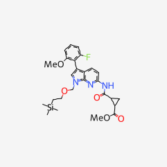 COC(=O)C1CC1C(=O)Nc1ccc2c(-c3c(F)cccc3OC)cn(COCC[Si](C)(C)C)c2n1